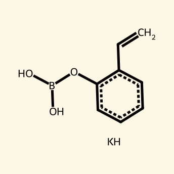 C=Cc1ccccc1OB(O)O.[KH]